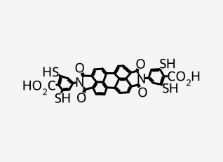 O=C(O)c1c(S)cc(N2C(=O)c3ccc4c5ccc6c7c(ccc(c8ccc(c3c48)C2=O)c75)C(=O)N(c2cc(S)c(C(=O)O)c(S)c2)C6=O)cc1S